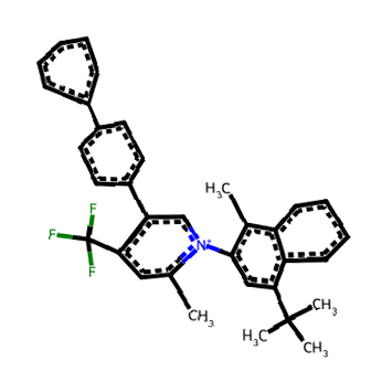 Cc1c(-[n+]2cc(-c3ccc(-c4ccccc4)cc3)c(C(F)(F)F)cc2C)cc(C(C)(C)C)c2ccccc12